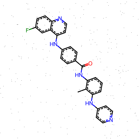 Cc1c(NC(=O)c2ccc(Nc3ccnc4ccc(F)cc34)cc2)cccc1Nc1ccncc1